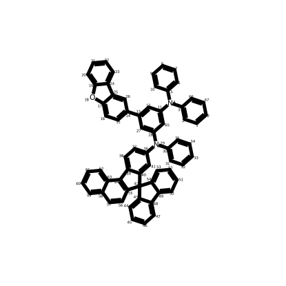 c1ccc(N(c2ccccc2)c2cc(-c3ccc4oc5ccccc5c4c3)cc(N(c3ccccc3)c3ccc4c(c3)C3(c5ccccc5-c5ccccc53)c3ccc5ccccc5c3-4)c2)cc1